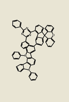 c1ccc(-c2nc(-c3ccccc3)nc(-c3cccc4c3-c3cc(-c5ccc6c(c5)c5ccc7c(c8ccccc8n7-c7ccccc7)c5n6-c5ccccc5)ccc3C43c4ccccc4Oc4ccccc43)n2)cc1